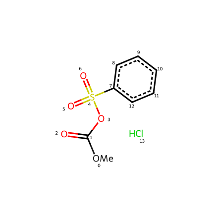 COC(=O)OS(=O)(=O)c1ccccc1.Cl